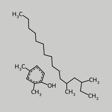 CCCCCCCCC[CH]CC(C)CC(C)CC.Cc1ccc(O)c(C)c1